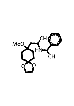 COC1(CC(C)NC(C)c2ccccc2)CCC2(CC1)OCCO2